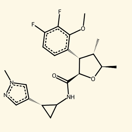 COc1c([C@@H]2[C@H](C)[C@@H](C)O[C@H]2C(=O)NC2C[C@@H]2c2cnn(C)c2)ccc(F)c1F